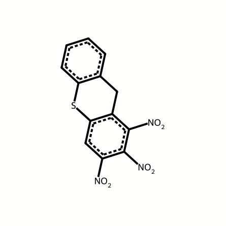 O=[N+]([O-])c1cc2c(c([N+](=O)[O-])c1[N+](=O)[O-])Cc1ccccc1S2